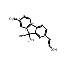 CCCC1(CCC)c2cc(C=NO)ccc2-c2ccc([N+](=O)[O-])cc21